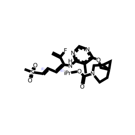 C=C(F)/C(=C\C=C\S(C)(=O)=O)Nc1ncnc(OCC23CCN(C(=O)OC(C)C)CC2C3)c1C